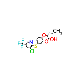 CCCC(Oc1ccc(Sc2ncc(C(F)(F)F)cc2Cl)cc1)C(=O)O